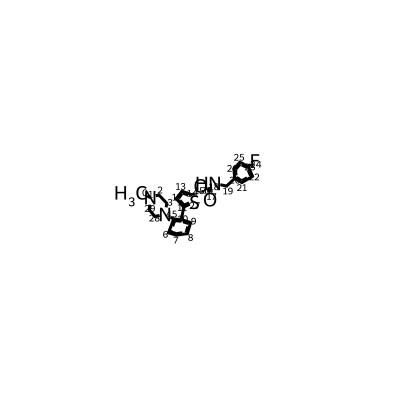 CN1CCN(c2ccccc2-c2ccc(OC(=O)NCc3ccc(F)cc3)s2)CC1